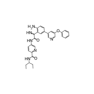 CCC(CC)NC(=O)c1ccc(NC(=O)C(=N)c2cc(-c3cncc(Oc4ccccc4)c3)ccc2N)cn1